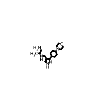 CC(CN)NCc1c[nH]nc1C1CCC(N2CCOCC2)CC1